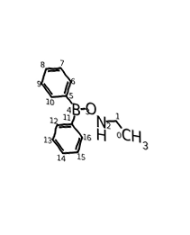 CCNOB(c1ccccc1)c1ccccc1